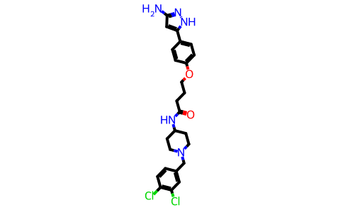 Nc1cc(-c2ccc(OCCCC(=O)NC3CCN(Cc4ccc(Cl)c(Cl)c4)CC3)cc2)[nH]n1